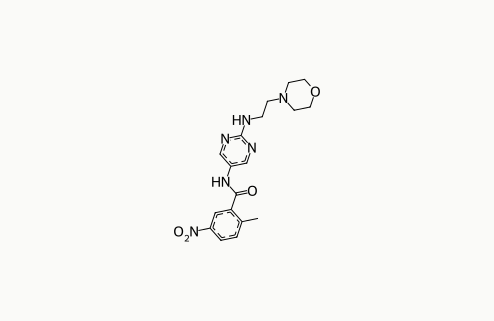 Cc1ccc([N+](=O)[O-])cc1C(=O)Nc1cnc(NCCN2CCOCC2)nc1